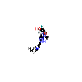 CCN(CC)CCCCNc1ncc2c(n1)N(C1CC1)C(=O)N(c1ccc(F)c(O)c1F)C2